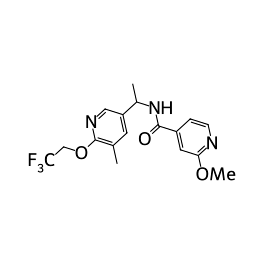 COc1cc(C(=O)NC(C)c2cnc(OCC(F)(F)F)c(C)c2)ccn1